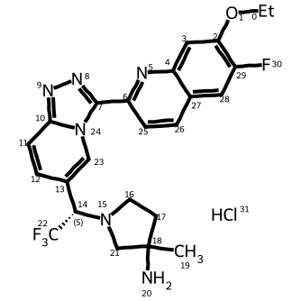 CCOc1cc2nc(-c3nnc4ccc([C@H](N5CCC(C)(N)C5)C(F)(F)F)cn34)ccc2cc1F.Cl